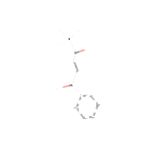 CC(C)(C)C(=O)C=CC(=O)c1ccc(Cl)cc1